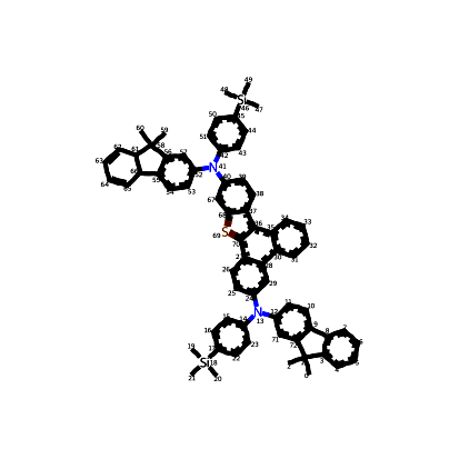 CC1(C)c2ccccc2-c2ccc(N(c3ccc([Si](C)(C)C)cc3)c3ccc4c(c3)c3ccccc3c3c5ccc(N(c6ccc([Si](C)(C)C)cc6)c6ccc7c(c6)C(C)(C)C6C=CC=CC76)cc5sc43)cc21